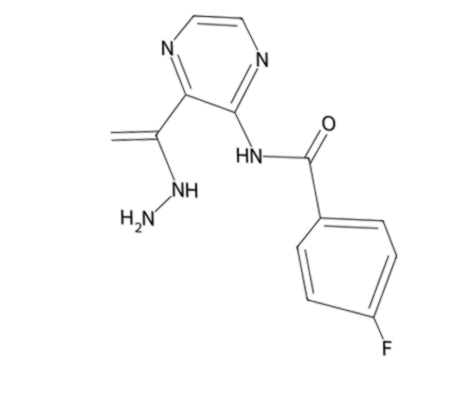 C=C(NN)c1nccnc1NC(=O)c1ccc(F)cc1